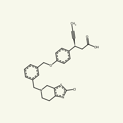 CC#C[C@@H](CC(=O)O)c1ccc(OCc2cccc(CN3CCc4nc(Cl)sc4C3)c2)cc1